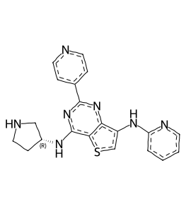 c1ccc(Nc2csc3c(N[C@@H]4CCNC4)nc(-c4ccncc4)nc23)nc1